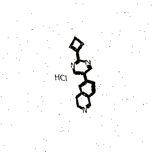 C1=NCCc2cc(-c3cnc(C4CCC4)nc3)ccc21.Cl